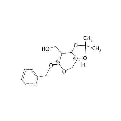 CC1(C)OC2C(CO)[C@H](OCc3ccccc3)OC[C@@H]2O1